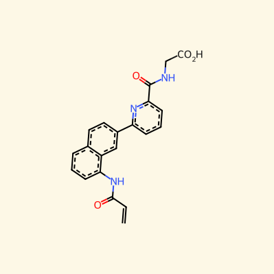 C=CC(=O)Nc1cccc2ccc(-c3cccc(C(=O)NCC(=O)O)n3)cc12